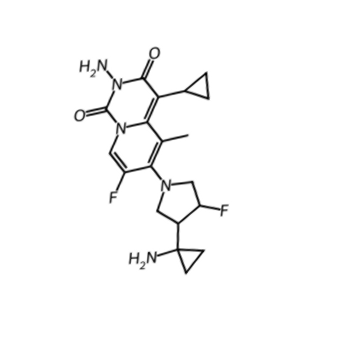 Cc1c(N2CC(F)C(C3(N)CC3)C2)c(F)cn2c(=O)n(N)c(=O)c(C3CC3)c12